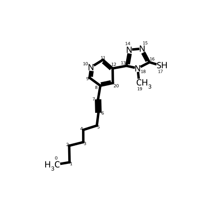 CCCCCCC#Cc1cncc(-c2nnc(S)n2C)c1